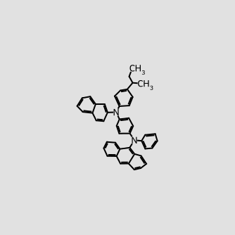 CCC(C)c1ccc(N(c2ccc(N(c3ccccc3)c3c4ccccc4cc4ccccc34)cc2)c2ccc3ccccc3c2)cc1